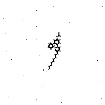 CCCCCCCCCCc1ccc(-c2ccc(OC(F)F)cc2-c2ccccc2)cc1